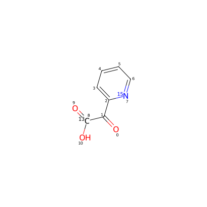 O=C(c1cccc[15n]1)[13C](=O)O